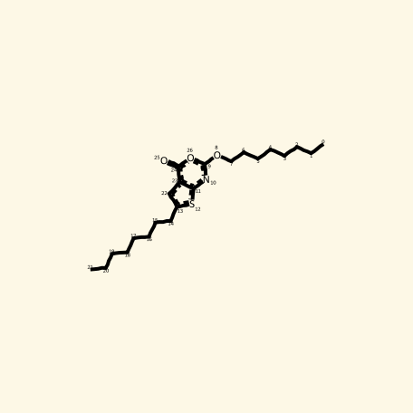 CCCCCCCCOc1nc2sc(CCCCCCCC)cc2c(=O)o1